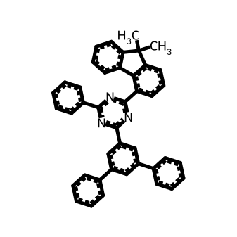 CC1(C)c2ccccc2-c2c(-c3nc(-c4ccccc4)nc(-c4cc(-c5ccccc5)cc(-c5ccccc5)c4)n3)cccc21